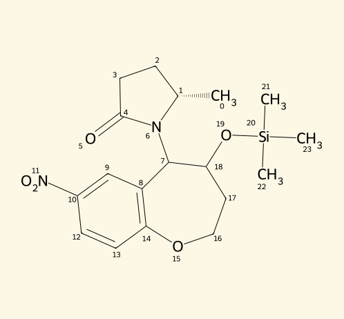 C[C@H]1CCC(=O)N1C1c2cc([N+](=O)[O-])ccc2OCCC1O[Si](C)(C)C